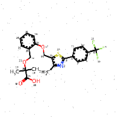 Cc1nc(-c2ccc(C(F)(F)F)cc2)sc1COc1ccccc1COC(C)(C)C(=O)O